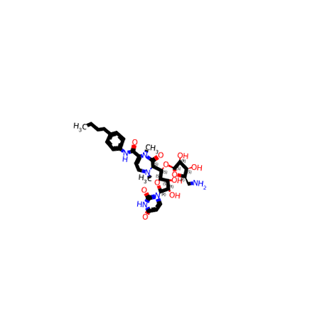 CCCCc1ccc(NC(=O)C2=CCN(C)[C@@H]([C@H](O[C@@H]3O[C@H](CN)[C@@H](O)[C@H]3O)[C@H]3O[C@@H](n4ccc(=O)[nH]c4=O)[C@H](O)[C@@H]3O)C(=O)N2C)cc1